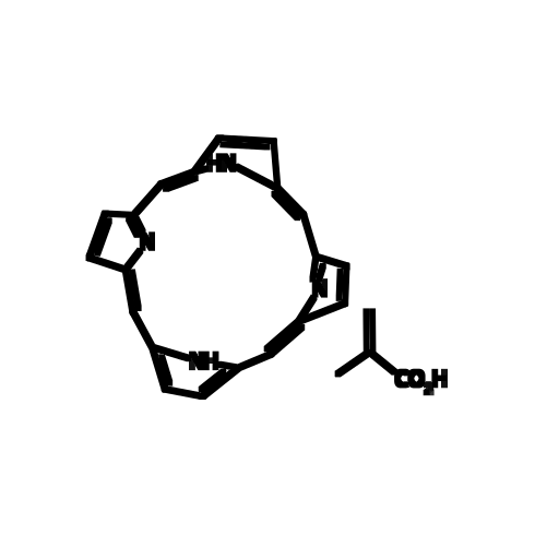 C1=Cc2cc3ccc(cc4nc(cc5ccc(cc1n2)[nH]5)C=C4)[nH]3.C=C(C)C(=O)O